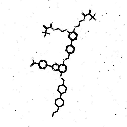 C=C(C(=O)OCCOc1ccc(-c2ccc(COc3ccc(OCC4CCC(C5CCC(CCC)CC5)CC4)c4nc(-c5ccc([N+](=O)[O-])cc5)sc34)cc2)cc1OCCOC(=O)C(=C)C(F)(F)F)C(F)(F)F